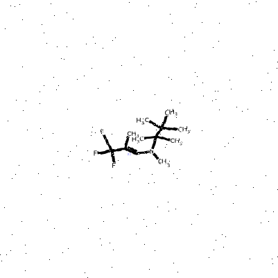 C/C(=C\N(C)C(C)(C)C(C)(C)C)C(F)(F)F